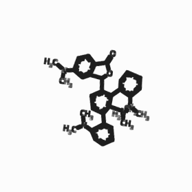 CN(C)c1ccc2c(c1)C(c1ccc(-c3ccccc3N(C)C)c(N(C)C)c1-c1ccccc1N(C)C)OC2=O